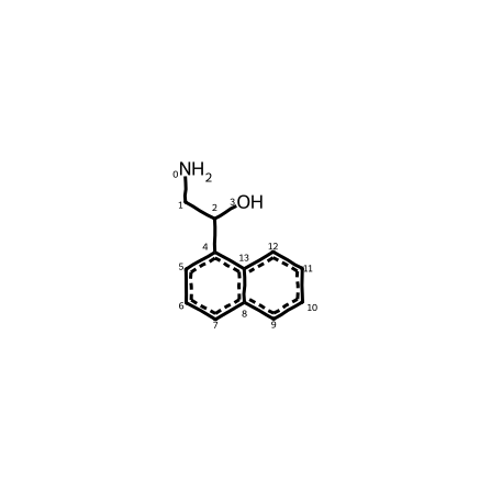 NCC(O)c1cccc2ccccc12